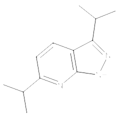 CC(C)c1ccc2c(C(C)C)n[nH]c2n1